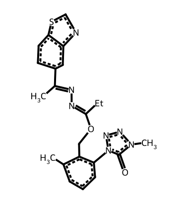 CC/C(=N\N=C(C)c1ccc2scnc2c1)OCc1c(C)cccc1-n1nnn(C)c1=O